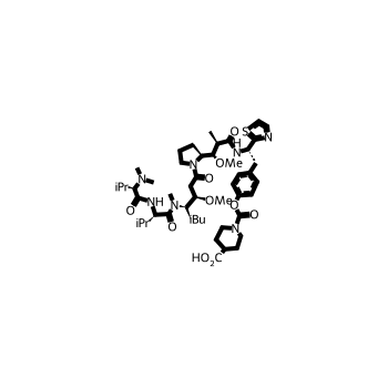 CC[C@H](C)[C@@H]([C@@H](CC(=O)N1CCC[C@H]1[C@H](OC)[C@@H](C)C(=O)N[C@@H](Cc1ccc(OC(=O)N2CCC(C(=O)O)CC2)cc1)c1nccs1)OC)N(C)C(=O)[C@@H](NC(=O)[C@H](C(C)C)N(C)C)C(C)C